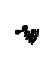 CCC(C#N)(c1ccc(-c2ccccc2CCCOC)cc1C)C(CC(=O)O)c1cc(F)cc(F)c1